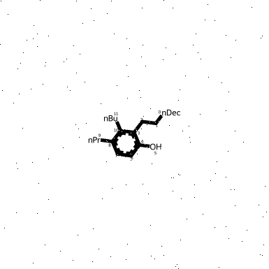 CCCCCCCCCCCCc1c(O)ccc(CCC)c1CCCC